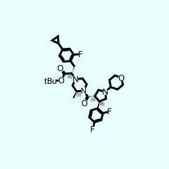 C[C@H]1CN([C@@H](Cc2ccc(C3CC3)cc2F)C(=O)OC(C)(C)C)CCN1C(=O)[C@@H]1CN(C2CCOCC2)C[C@H]1c1ccc(F)cc1F